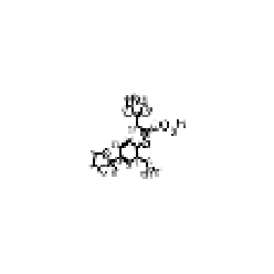 CC(C)Cc1cc(C2(C)OCCO2)ccc1S[C@@H](CC(=O)OC(C)(C)C)C(=O)O